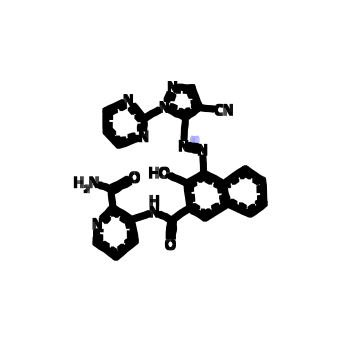 N#Cc1cnn(-c2ncccn2)c1/N=N/c1c(O)c(C(=O)Nc2cccnc2C(N)=O)cc2ccccc12